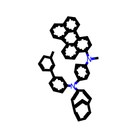 CC1C=C(c2cccc(N(C3=CC4=C=C(C=CC=C4)C=C3)c3ccc(N(C)c4ccc5c6cccc7cccc(c8cccc4c85)c76)cc3)c2)C=CC1